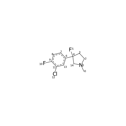 CN1CCC(F)(c2ccc(F)c(Cl)c2)C1